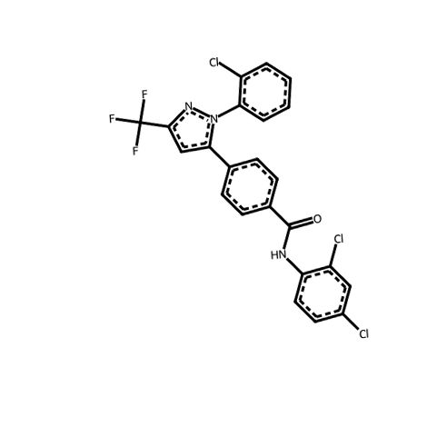 O=C(Nc1ccc(Cl)cc1Cl)c1ccc(-c2cc(C(F)(F)F)nn2-c2ccccc2Cl)cc1